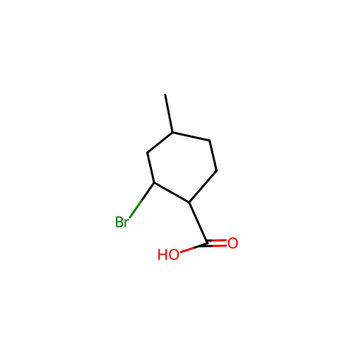 CC1CCC(C(=O)O)C(Br)C1